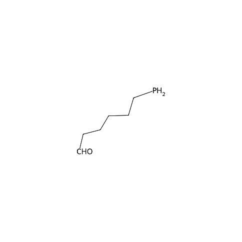 O=CCCCCCP